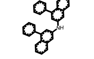 c1ccc(-c2cc(Nc3cc(-c4ccccc4)c4ccccc4c3)cc3ccccc23)cc1